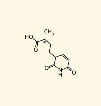 C[C@H](CCC1C=CC(=O)NC1=O)C(=O)O